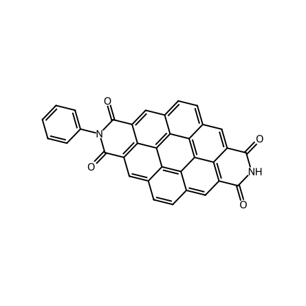 O=c1[nH]c(=O)c2cc3ccc4cc5c(=O)n(-c6ccccc6)c(=O)c6cc7ccc8cc1c2c1c8c7c(c65)c4c31